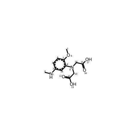 CNc1ccc(OC)c(N(CC(=O)O)CC(=O)O)c1